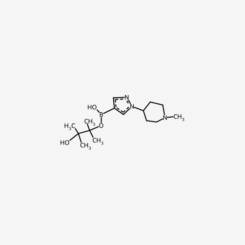 CN1CCC(n2cc(B(O)OC(C)(C)C(C)(C)O)cn2)CC1